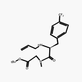 C=CCN[C@@H](Cc1ccc(C(F)(F)F)cc1)C(=O)N(C)CC(=O)OC(C)(C)C